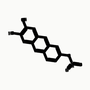 O=[SH](=O)Oc1ccc2cc3cc(O)c(O)cc3cc2c1